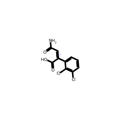 NC(=O)/C=C(\C(=O)O)c1cccc(Cl)c1Cl